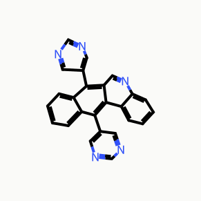 c1ccc2c(c1)ncc1c(-c3cncnc3)c3ccccc3c(-c3cncnc3)c12